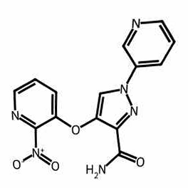 NC(=O)c1nn(-c2cccnc2)cc1Oc1cccnc1[N+](=O)[O-]